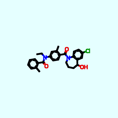 CCN(C(=O)c1ccccc1C)c1ccc(C(=O)N2CCCC(O)c3cc(Cl)ccc32)c(C)c1